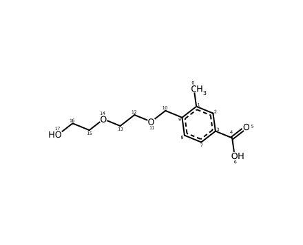 Cc1cc(C(=O)O)ccc1COCCOCCO